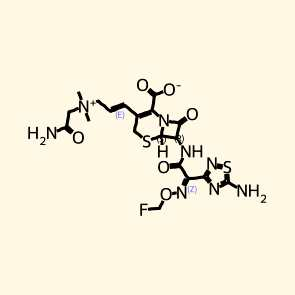 C[N+](C)(C/C=C/C1=C(C(=O)[O-])N2C(=O)[C@@H](NC(=O)/C(=N\OCF)c3nsc(N)n3)[C@@H]2SC1)CC(N)=O